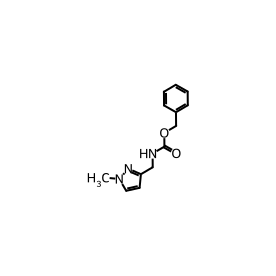 Cn1ccc(CNC(=O)OCc2ccccc2)n1